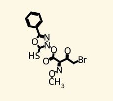 CO/N=C(/C(=O)CBr)C(=O)ON1N=C(c2ccccc2)OC1S